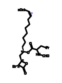 CCCCCCCC/C=C\CCCCCCC[C@@H](C[C@H]1OC(=O)[C@@H]1CC)OC(=O)C(CC(C)C)NC=O